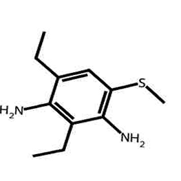 CCc1cc(SC)c(N)c(CC)c1N